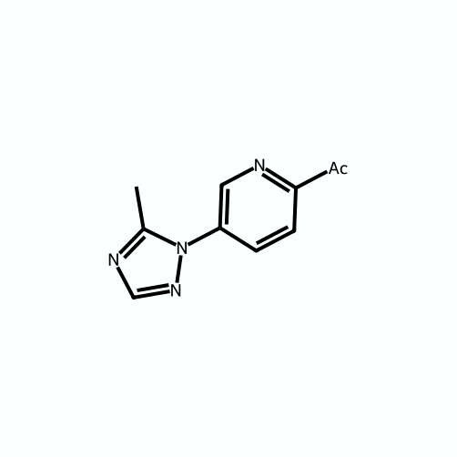 CC(=O)c1ccc(-n2ncnc2C)cn1